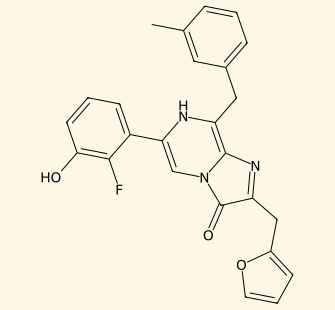 Cc1cccc(Cc2[nH]c(-c3cccc(O)c3F)cn3c(=O)c(Cc4ccco4)nc2-3)c1